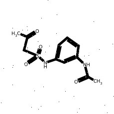 CC(=O)CS(=O)(=O)Nc1cccc(NC(C)=O)c1